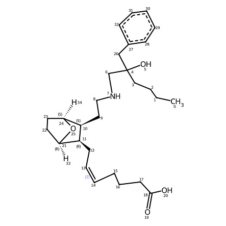 CCCCC(O)(CNCC[C@H]1[C@@H](C/C=C\CCCC(=O)O)[C@H]2CC[C@@H]1O2)Cc1ccccc1